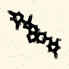 O=C1CCC(N2Cc3c(ccc4c3OCCC43CCN(Cc4ccc(Cl)cc4F)CC3)C2=O)C(=O)N1